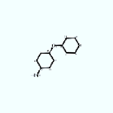 [NH][C@H]1CC[C@@H](OC2CCCCC2)CC1